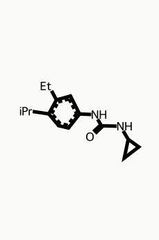 CCc1cc(NC(=O)NC2CC2)ccc1C(C)C